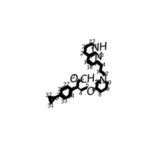 CC(=O)[C@@H](CCO[C@@H]1CCCN(CCCc2ccc3c(n2)NCCC3)C1)c1ccc(C2CC2)cc1